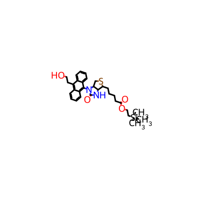 C[Si](C)(C)CCOC(=O)CCCCC1SCC2C1NC(=O)N2c1c2ccccc2c(CCO)c2ccccc12